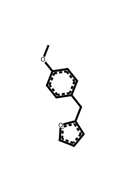 COc1ccc(Cc2cc[c]o2)cc1